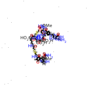 CONNC(=O)OCCSSC[C@H](NC(=O)[C@H](CC(=O)O)NC(=O)[C@H](CC(=O)O)NC(=O)[C@H](CC(=O)O)NC(=O)CC[C@@H](C)NC(=O)c1ccc(NCc2cnc3nc(N)[nH]c(=O)c3n2)cc1)C(=O)N[C@@H](CCCCNC(=O)CCSSCCNC1=C(C)C(=O)C2=C(C1=O)[C@@H](COC(N)=O)[C@@]1(OC)[C@H]3N[C@H]3CN21)C(=O)O